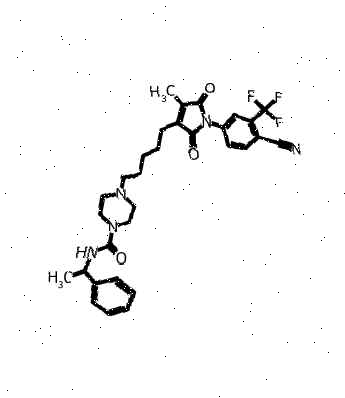 CC1=C(CCCCCN2CCN(C(=O)NC(C)c3ccccc3)CC2)C(=O)N(c2ccc(C#N)c(C(F)(F)F)c2)C1=O